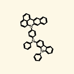 c1ccc(N(c2ccc(N3c4cc5ccccc5cc4-c4cccc5cccc3c45)cc2)c2ccc3c4ccccc4n(-c4ccccc4)c3c2)cc1